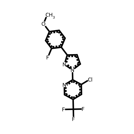 COc1ccc(-c2ccn(-c3ncc(C(F)(F)F)cc3Cl)n2)c(F)c1